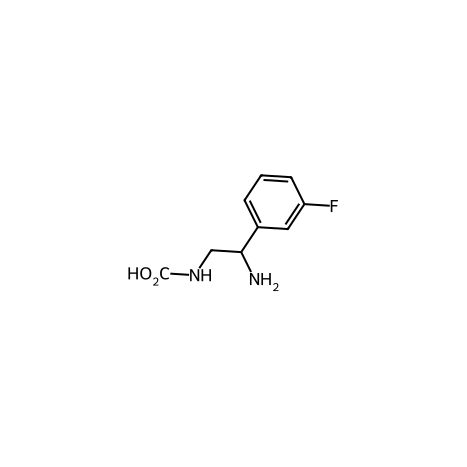 NC(CNC(=O)O)c1cccc(F)c1